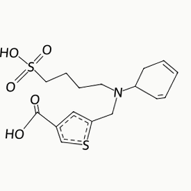 O=C(O)c1csc(CN(CCCCS(=O)(=O)O)C2C=CC=CC2)c1